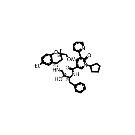 CCc1ccc2c(c1)[C@@H](NC[C@H](O)[C@H](Cc1ccccc1)NC(=O)c1cc(-c3ccccn3)c(=O)n(C3CCCC3)c1)C[C@@](C)(COC)O2